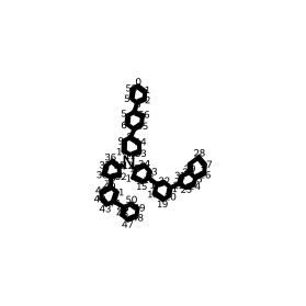 c1ccc(-c2ccc(-c3ccc(N(c4ccc(-c5cccc(-c6ccc7ccccc7c6)c5)cc4)c4cccc(-c5cccc(-c6ccccc6)c5)c4)cc3)cc2)cc1